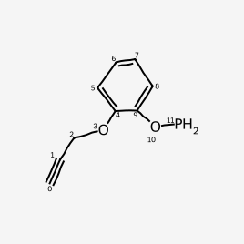 C#CCOc1ccccc1OP